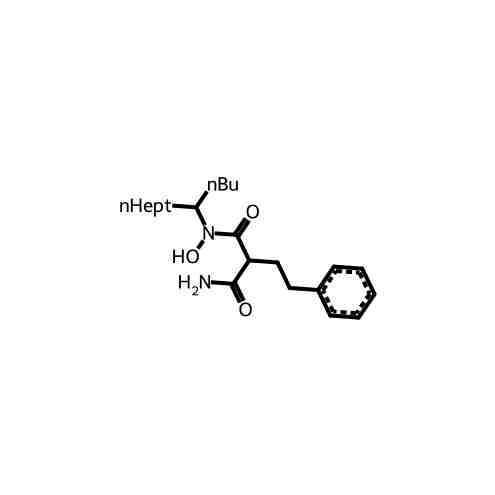 CCCCCCCC(CCCC)N(O)C(=O)C(CCc1ccccc1)C(N)=O